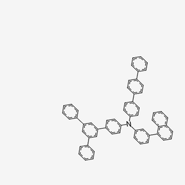 c1ccc(-c2ccc(-c3ccc(N(c4ccc(-c5cc(-c6ccccc6)cc(-c6ccccc6)c5)cc4)c4cccc(-c5cccc6ccccc56)c4)cc3)cc2)cc1